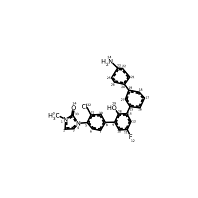 Cn1ccn(-c2ccc(-c3cc(F)cc(-c4cccc(-c5ccc(N)cc5)c4)c3O)cc2Cl)c1=O